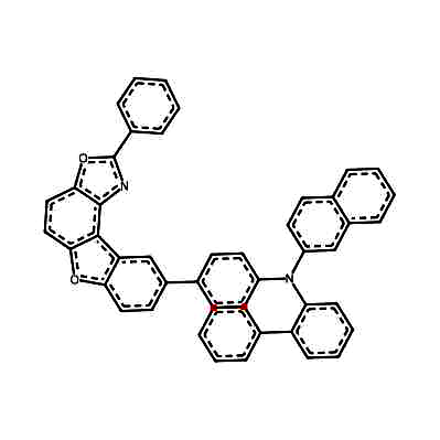 c1ccc(-c2nc3c(ccc4oc5ccc(-c6ccc(N(c7ccc8ccccc8c7)c7ccccc7-c7ccccc7)cc6)cc5c43)o2)cc1